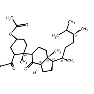 CC(=O)OC1CC[C@](C)(C2CC[C@]3(C)[C@@H]([C@H](C)CC[C@H](C)C(C)C)CC[C@H]3C2=O)C(C(=O)O)C1